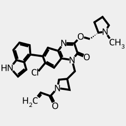 C=CC(=O)N1CC(Cn2c(=O)c(OC[C@@H]3CCCN3C)nc3cc(-c4cccc5[nH]ccc45)c(Cl)cc32)C1